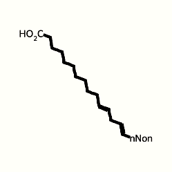 CCCCCCCCCC=CCC=CCCCCCCCCCC(=O)O